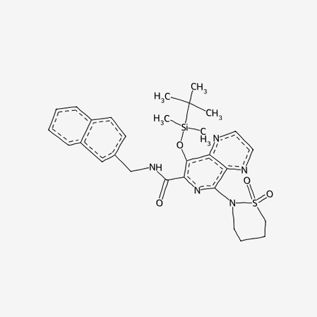 CC(C)(C)[Si](C)(C)Oc1c(C(=O)NCc2ccc3ccccc3c2)nc(N2CCCCS2(=O)=O)c2nccnc12